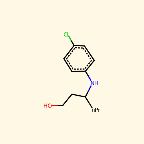 CCCC(CCO)Nc1ccc(Cl)cc1